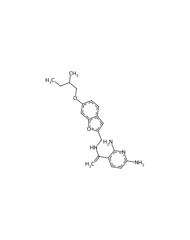 C=C(NCc1cc2ccc(OCC(C)CC)cc2o1)c1ccc(N)nc1N